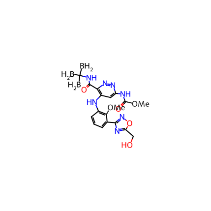 BC(B)(B)NC(=O)c1nnc(NC(=O)OC)cc1Nc1cccc(-c2noc(CO)n2)c1OC